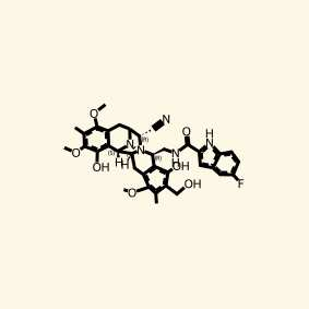 COc1c(C)c(OC)c2c(c1O)[C@H]1[C@@H]3Cc4c(OC)c(C)c(CO)c(O)c4[C@H](CNC(=O)c4cc5cc(F)ccc5[nH]4)N3[C@@H](C#N)C(C2)N1C